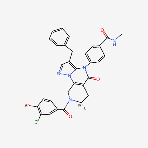 CNC(=O)c1ccc(-n2c(=O)c3c(n4ncc(Cc5ccccc5)c24)CN(C(=O)c2ccc(Br)c(Cl)c2)[C@@H](C)C3)cc1